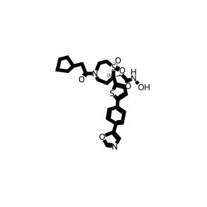 O=C(C[C@]1(c2ccc(-c3ccc(-c4cnco4)cc3)s2)CCN(C(=O)CC2CCCC2)CCS1(=O)=O)NO